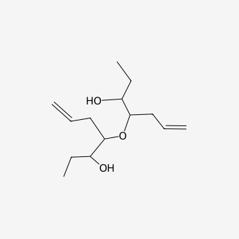 C=CCC(OC(CC=C)C(O)CC)C(O)CC